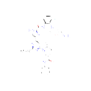 CNc1nc(-c2c[nH]c(C(=O)Nc3cccc(F)c3N3CCO[C@H](CN)C3)n2)cc(N2CC(C(=O)NC3CCCCC3)CCC2C)n1